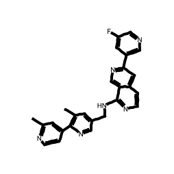 Cc1cc(-c2ncc(CNc3nccc4cc(-c5cncc(F)c5)ncc34)cc2C)ccn1